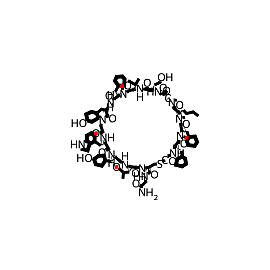 CCCC[C@H]1C(=O)N(C)CC(=O)N[C@@H](CC(=O)O)C(=O)N[C@@H](C(C)C)C(=O)N(C)[C@@H](Cc2ccccc2)C(=O)N[C@H]2Cc3ccc(O)cc3N(CC(=O)N[C@@H](Cc3cccc4[nH]ccc34)C(=O)N[C@@H](Cc3ccc(O)cc3)C(=O)N[C@@H](CC(C)C)C(=O)N[C@H](C(=O)NCC(N)=O)CSCC(=O)N[C@@H](Cc3ccccc3)C(=O)N(C)[C@@H](Cc3ccccc3)C(=O)N1C)C2=O